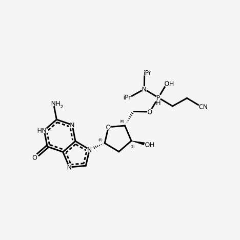 CC(C)N(C(C)C)[PH](O)(CCC#N)OC[C@H]1O[C@@H](n2cnc3c(=O)[nH]c(N)nc32)C[C@@H]1O